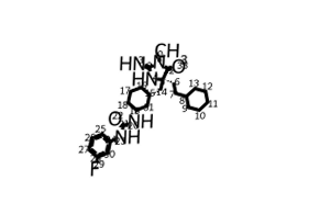 CN1C(=N)N[C@](CCC2CCCCC2)(C[C@H]2CCC[C@@H](NC(=O)Nc3cccc(F)c3)C2)C1=O